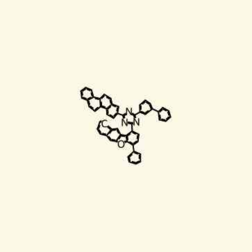 c1ccc(-c2cccc(-c3nc(-c4ccc5c(ccc6c7ccccc7ccc56)c4)nc(-c4ccc(-c5ccccc5)c5oc6cc7ccccc7cc6c45)n3)c2)cc1